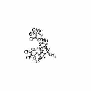 COC(=O)c1ccc(NC(=S)CNN=C(C)c2nn(C)c(-c3ccc(Cl)c(Cl)c3)c2O)cc1Cl